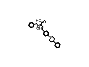 O=C(O)C(CCc1ccc(N2CCC(c3ccccc3)CC2)cc1)=[N+](O)Cc1ccccc1